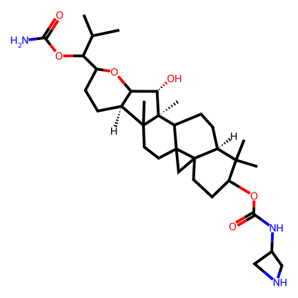 CC(C)C(OC(N)=O)C1CC[C@H]2C(O1)[C@H](O)[C@@]1(C)C3CC[C@H]4C(C)(C)C(OC(=O)NC5CNC5)CCC45CC35CCC21C